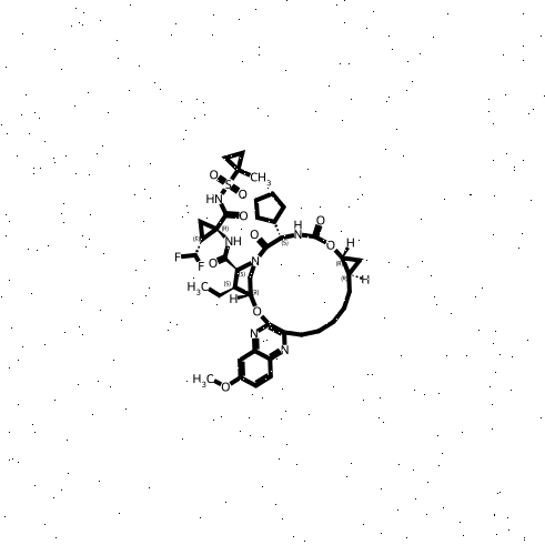 CC[C@@H]1[C@@H]2CN(C(=O)[C@H](C3CCCC3)NC(=O)O[C@@H]3C[C@H]3CCCCCc3nc4ccc(OC)cc4nc3O2)[C@@H]1C(=O)N[C@]1(C(=O)NS(=O)(=O)C2(C)CC2)C[C@H]1C(F)F